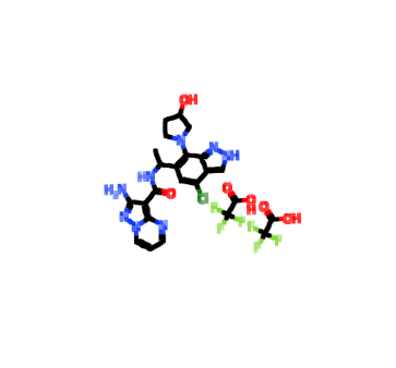 CC(NC(=O)c1c(N)nn2cccnc12)c1cc(Cl)c2c[nH]nc2c1N1CCC(O)C1.O=C(O)C(F)(F)F.O=C(O)C(F)(F)F